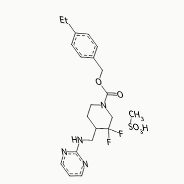 CCc1ccc(COC(=O)N2CCC(CNc3ncccn3)C(F)(F)C2)cc1.CS(=O)(=O)O